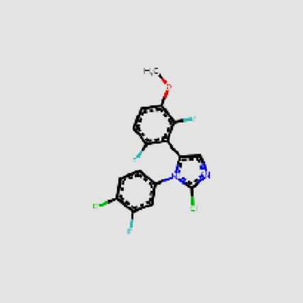 COc1ccc(F)c(-c2cnc(Cl)n2-c2ccc(Cl)c(F)c2)c1F